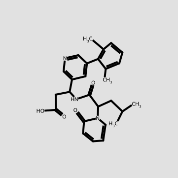 Cc1cccc(C)c1-c1cncc(C(CC(=O)O)NC(=O)C(CC(C)C)n2ccccc2=O)c1